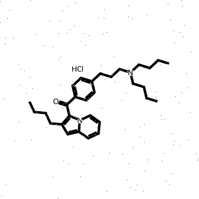 CCCCc1cc2ccccn2c1C(=O)c1ccc(CCCN(CCCC)CCCC)cc1.Cl